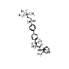 CC(C)(C)CCS(=O)(=O)c1ccc(-c2ccc(C(C)(C)NC(=O)NC3(C)CN4CCC3CC4)cc2)cc1